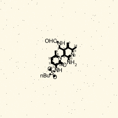 C=C1C(CNC=O)=C(n2c(C)ccc(NS(=O)(=O)CCCC)c2=O)C(N)=NC1C